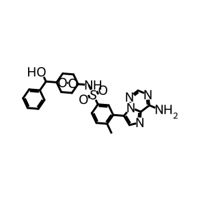 Cc1ccc(S(=O)(=O)NC23CCC(C(O)c4ccccc4)(CC2)OC3)cc1-c1cnc2c(N)ncnn12